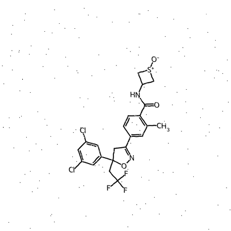 Cc1cc(C2=NOC(CC(F)(F)F)(c3cc(Cl)cc(Cl)c3)C2)ccc1C(=O)NC1C[S+]([O-])C1